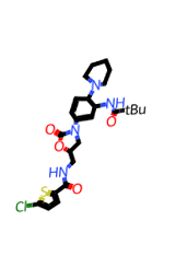 CC(C)(C)C(=O)NC1C=C(N2CC(CNC(=O)c3ccc(Cl)s3)OC2=O)C=CC1N1CCCCC1